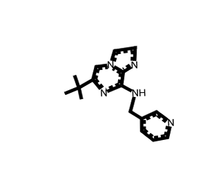 CC(C)(C)c1cn2ccnc2c(NCc2cccnc2)n1